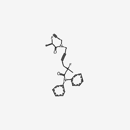 C#CCN(CC#CCC(C)(F)C(=O)N(c1ccccc1)c1ccccc1)C(=O)C(=C)F